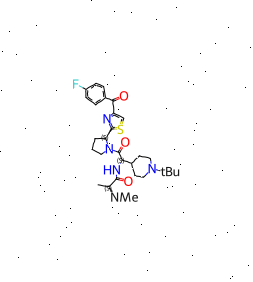 CN[C@@H](C)C(=O)N[C@H](C(=O)N1CCC[C@H]1c1nc(C(=O)c2ccc(F)cc2)cs1)C1CCN(C(C)(C)C)CC1